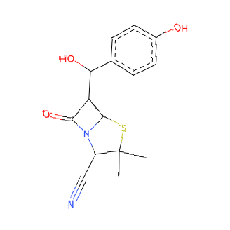 CC1(C)SC2C(C(O)c3ccc(O)cc3)C(=O)N2C1C#N